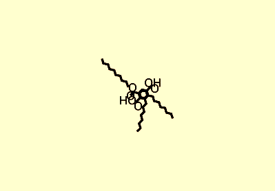 CCCCCCCCCCOC(=O)c1cc(C(=O)O)c(CCCCCCCC)c(CCCCCCCC)c1C(=O)O